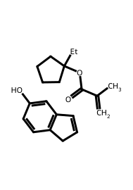 C=C(C)C(=O)OC1(CC)CCCC1.Oc1ccc2c(c1)C=CC2